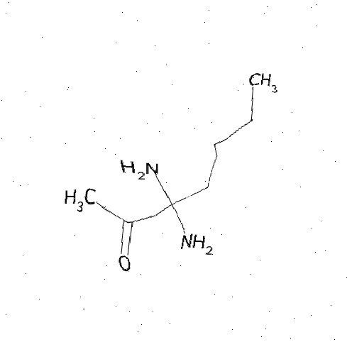 CCCCC(N)(N)C(C)=O